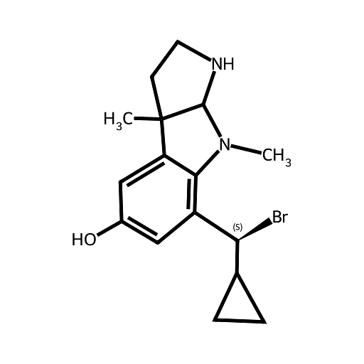 CN1c2c([C@@H](Br)C3CC3)cc(O)cc2C2(C)CCNC12